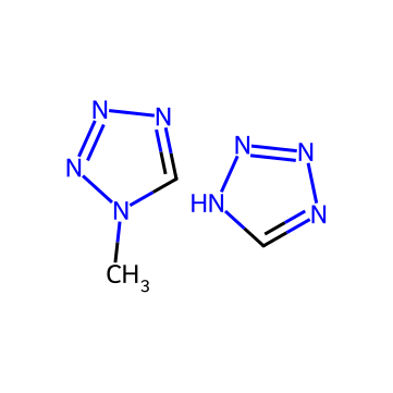 Cn1cnnn1.c1nnn[nH]1